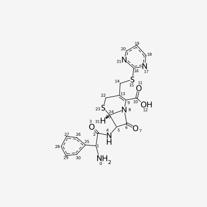 NC(C(=O)NC1C(=O)N2C(C(=O)O)=C(CSc3ncccn3)CS[C@@H]12)c1ccccc1